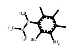 BB(B)B(B)c1c(C)c(C)c(C)c(B)c1C(C)(C)C